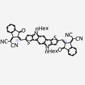 CCCCCCn1c2cc3c4sc(/C=C5\C(=O)c6ccccc6C5=C(C#N)C#N)cc4n(CCCCCC)c3cc2c2sc(/C=C3\C(=O)c4ccccc4C3=C(C#N)C#N)cc21